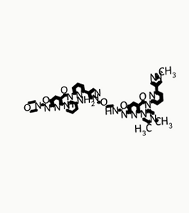 CC1CN(c2nc3nc(NCCOCn4cc(-c5cccc(NC(=O)c6cc7oc(N8CCOCC8)nc7nc6N6CCCC(N)C6)n5)cn4)oc3cc2C(=O)Nc2cccc(-c3cnn(C)c3)n2)CCN1C